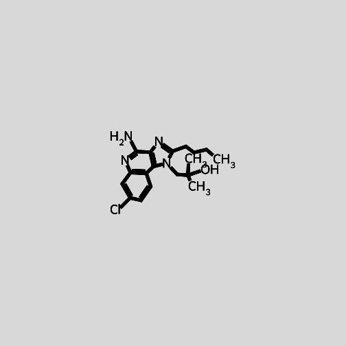 CCCCc1nc2c(N)nc3cc(Cl)ccc3c2n1CC(C)(C)O